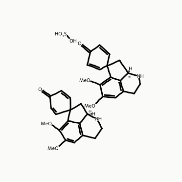 COc1cc2c3c(c1OC)C1(C=CC(=O)C=C1)C[C@H]3NCC2.COc1cc2c3c(c1OC)C1(C=CC(=O)C=C1)C[C@H]3NCC2.O=S(=O)(O)O